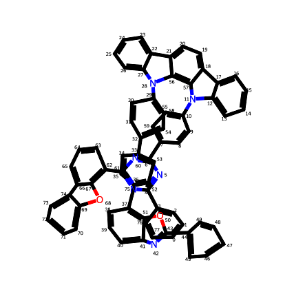 c1ccc(-c2nc(-c3ccc(-n4c5ccccc5c5ccc6c7ccccc7n(-c7ccc(-c8ccc(-c9cccc%10nc(-c%11ccccc%11)oc9%10)cc8)cc7)c6c54)cc3)nc(-c3cccc4c3oc3ccccc34)n2)cc1